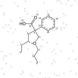 CCCCC(COCCC)(C(=O)O)c1ccccc1